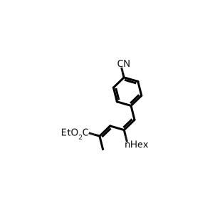 CCCCCCC(=Cc1ccc(C#N)cc1)C=C(C)C(=O)OCC